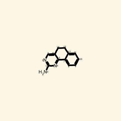 Nc1ncc2c(n1)-c1ccccc1CC2